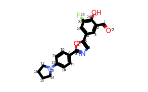 O=Cc1cc(-c2cnc(-c3ccc(N4CCCC4)cc3)o2)cc(F)c1O